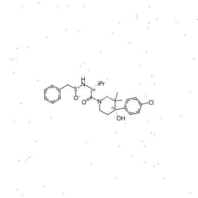 CC(C)[C@@H](N[S+]([O-])Cc1ccccc1)C(=O)N1CC[C@](O)(c2ccc(Cl)cc2)C(C)(C)C1